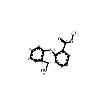 COC(=O)c1ccccc1Nc1ccccc1CO